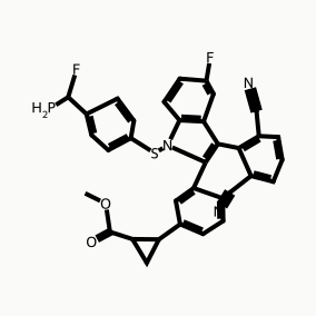 COC(=O)C1CC1c1cccc(-c2c(-c3c(C#N)cccc3C#N)c3cc(F)ccc3n2Sc2ccc(C(F)P)cc2)c1